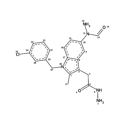 Cc1c(CC(=O)NN)c2cc(N(N)C=O)ccc2n1Cc1cccc(Cl)c1